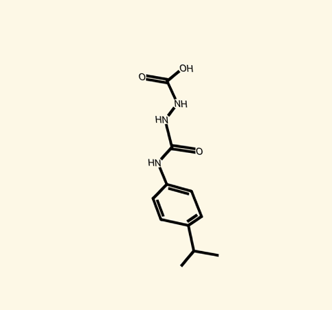 CC(C)c1ccc(NC(=O)NNC(=O)O)cc1